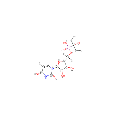 CCC(O)(CC)P(=O)(O)OC(C)(C)[C@H]1OC(n2cc(C)c(=O)[nH]c2=O)[C@H](O)[C@@H]1O